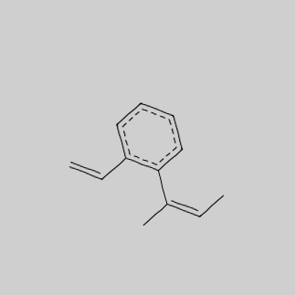 C=Cc1ccccc1/C(C)=C\C